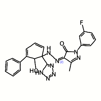 CC1=NN(c2cccc(F)c2)C(=O)/C1=N\NC1(c2nnn[nH]2)C=CC=C(c2ccccc2)C1O